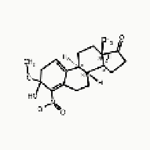 COC1(O)CC=C2C(=C1[N+](=O)[O-])CC[C@@H]1[C@@H]2CC[C@]2(C)C(=O)CC[C@@H]12